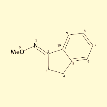 CON=C1CCc2ccccc21